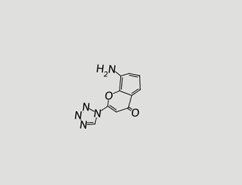 Nc1cccc2c(=O)cc(-n3cnnn3)oc12